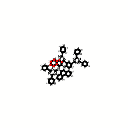 c1ccc(-c2nc(-c3ccccc3)nc(-c3ccc(N4c5ccc6ccccc6c5N(c5nc(-c6ccccc6)nc(-c6ccccc6)n5)c5c4c4ccccc4c4ccccc54)c(-c4nc(-c5ccccc5)nc(-c5ccccc5)n4)c3)n2)cc1